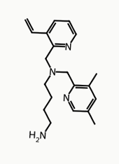 C=Cc1cccnc1CN(CCCCN)Cc1ncc(C)cc1C